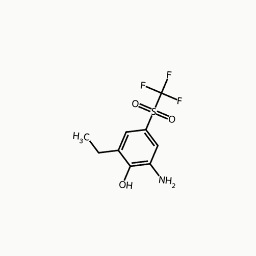 CCc1cc(S(=O)(=O)C(F)(F)F)cc(N)c1O